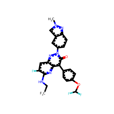 Cn1cc2cc(-n3nc4cc(F)c(NCC(F)(F)F)nc4c(-c4ccc(OC(F)F)cc4)c3=O)ccc2n1